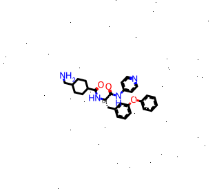 NCC1CCC(C(=O)N[C@@H](Cc2cccc(Oc3ccccc3)c2)C(=O)Nc2ccncc2)CC1